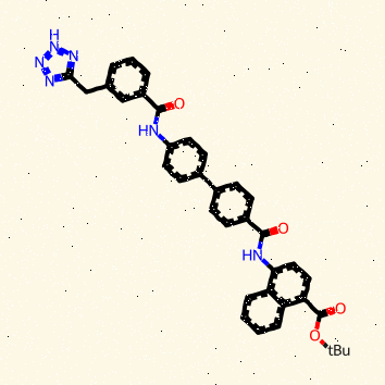 CC(C)(C)OC(=O)c1ccc(NC(=O)c2ccc(-c3ccc(NC(=O)c4cccc(Cc5nn[nH]n5)c4)cc3)cc2)c2ccccc12